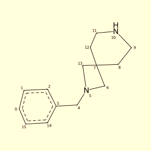 c1ccc(CN2CC3(CCNCC3)C2)cc1